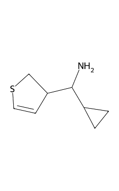 NC(C1C=CSC1)C1CC1